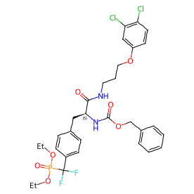 CCOP(=O)(OCC)C(F)(F)c1ccc(C[C@H](NC(=O)OCc2ccccc2)C(=O)NCCCOc2ccc(Cl)c(Cl)c2)cc1